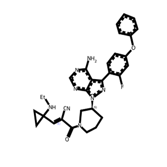 CCNC1(/C=C(\C#N)C(=O)N2CCC[C@H](n3nc(-c4ccc(Oc5ccccc5)cc4F)c4c(N)ncnc43)C2)CC1